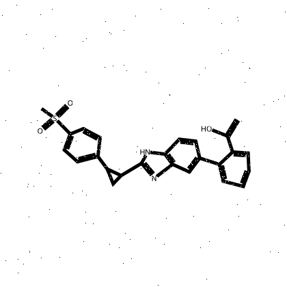 C=C(O)c1ccccc1-c1ccc2[nH]c(C3CC3c3ccc(S(C)(=O)=O)cc3)nc2c1